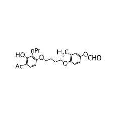 CCCc1c(OCCCCOc2ccc(OC=O)cc2C)ccc(C(C)=O)c1O